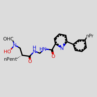 CCCCC[C@H](CN(O)C=O)C(=O)NCNC(=O)c1cccc(-c2cccc(CCC)c2)n1